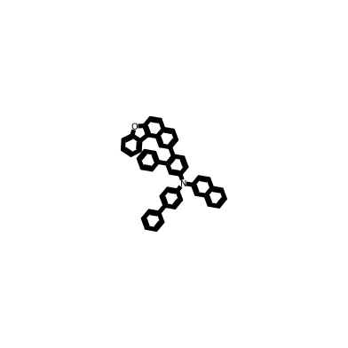 c1ccc(-c2ccc(N(c3ccc(-c4ccc5ccc6oc7ccccc7c6c5c4)c(-c4ccccc4)c3)c3ccc4ccccc4c3)cc2)cc1